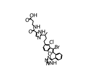 CC(CCc1ccc2oc(-c3ccccc3-c3nnn[nH]3)c(Br)c2c1Cl)c1ncc(C(=O)NCCC(=O)O)[nH]1